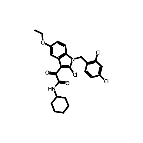 CCOc1ccc2c(c1)c(C(=O)C(=O)NC1CCCCC1)c(Cl)n2Cc1ccc(Cl)cc1Cl